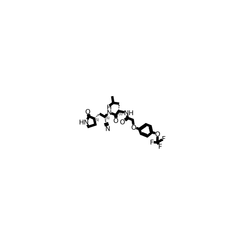 CC(C)C[C@H](NC(=O)COc1ccc(OC(F)(F)F)cc1)C(=O)N[C@H](C#N)C[C@@H]1CCNC1=O